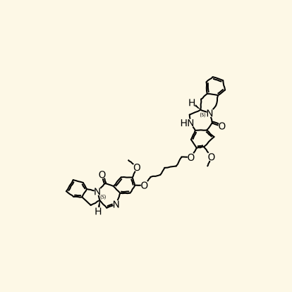 COc1cc2c(cc1OCCCCCOc1cc3c(cc1OC)C(=O)N1Cc4ccccc4C[C@H]1CN3)N=C[C@@H]1Cc3ccccc3N1C2=O